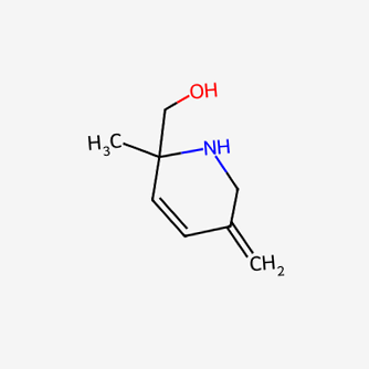 C=C1C=CC(C)(CO)NC1